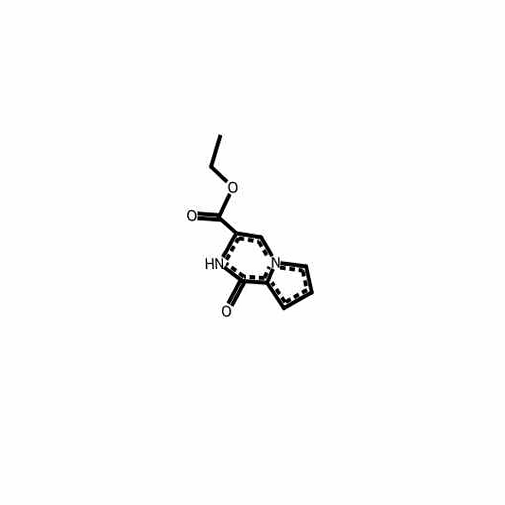 CCOC(=O)c1cn2cccc2c(=O)[nH]1